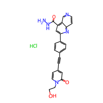 Cl.NNC(=O)c1cc(-c2ccc(C#Cc3ccn(CCO)c(=O)c3)cc2)nc2ccncc12